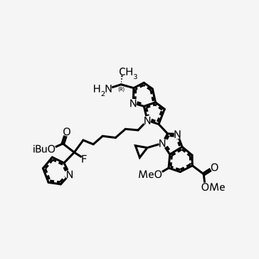 COC(=O)c1cc(OC)c2c(c1)nc(-c1cc3ccc([C@@H](C)N)nc3n1CCCCCCC(F)(C(=O)OCC(C)C)c1ccccn1)n2C1CC1